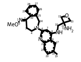 CO/N=C1\CCN(c2cc(NCC3(N)COC3)c3cc(C)ccc3n2)Cc2ccccc21